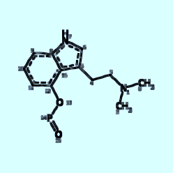 CN(C)CCc1c[nH]c2cccc(OP=O)c12